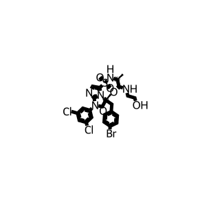 C[C@H](NS(=O)(=O)c1cnc2n1[C@](C)(Cc1ccc(Br)cc1)C(=O)N2c1cc(Cl)cc(Cl)c1)C(=O)NCCO